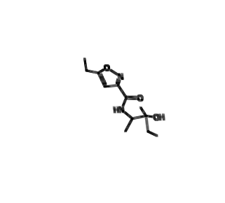 CCc1cc(C(=O)NC(C)C(C)(O)CC)no1